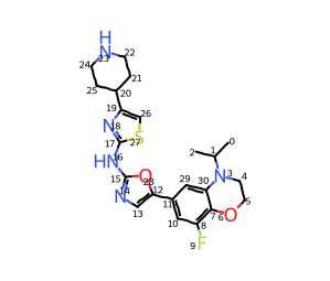 CC(C)N1CCOc2c(F)cc(-c3cnc(Nc4nc(C5CCNCC5)cs4)o3)cc21